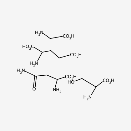 NC(=O)CC(N)C(=O)O.NC(CCC(=O)O)C(=O)O.NC(CO)C(=O)O.NCC(=O)O